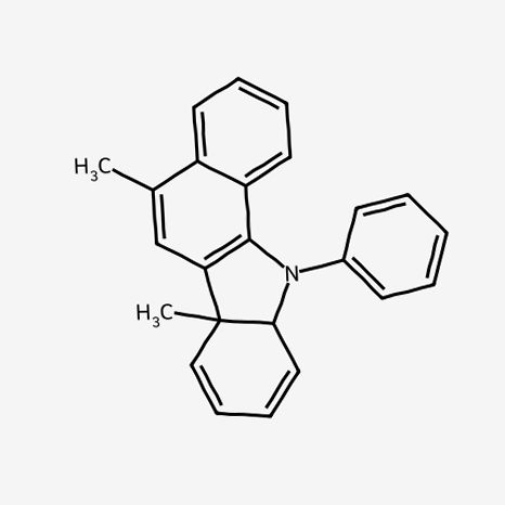 Cc1cc2c(c3ccccc13)N(c1ccccc1)C1C=CC=CC21C